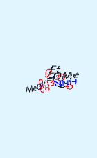 CCOC1C(CCP(=O)(O)OC)OC(n2ccc(=O)[nH]c2=O)C1OC